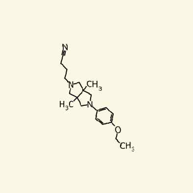 CCOc1ccc(N2CC3(C)CN(CCCC#N)CC3(C)C2)cc1